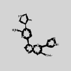 COc1cc2ncc(-c3ccc([C@H]4CNC[C@H]4F)c(N)n3)n2nc1-c1cn[nH]c1